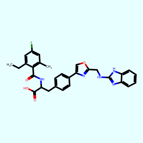 CCc1cc(F)cc(C)c1C(=O)NC(Cc1ccc(-c2coc(CNc3nc4ccccc4[nH]3)n2)cc1)C(=O)O